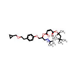 CC(C)NCC(COc1ccc(CCOCC2CC2)cc1)OC(=O)/C=C\C(=O)OC(C)(C)CC(C)(C)C